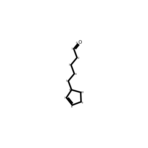 O=CCCCCC1C=CCC1